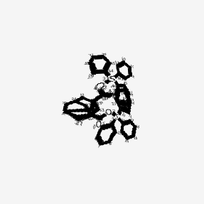 O=C(OS(c1ccccc1)(c1ccccc1)c1ccccc1)C12CC3CC(C1)CC(C(=O)OS(c1ccccc1)(c1ccccc1)c1ccccc1)(C3)C2